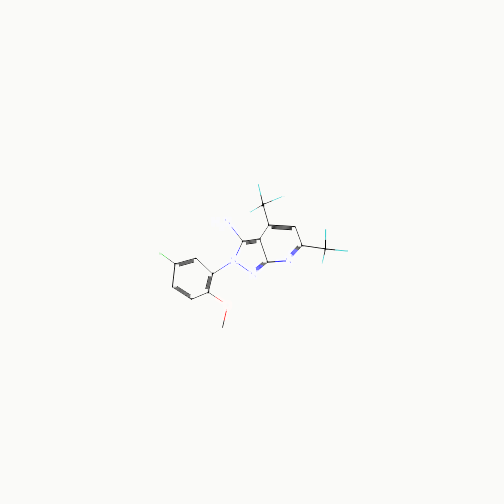 COc1ccc(Cl)cc1-n1nc2nc(C(F)(F)F)cc(C(F)(F)F)c2c1N